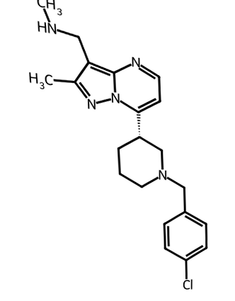 CNCc1c(C)nn2c([C@H]3CCCN(Cc4ccc(Cl)cc4)C3)ccnc12